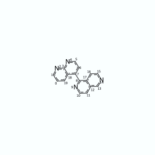 c1cnc2nccc(-c3nccc4cnccc34)c2c1